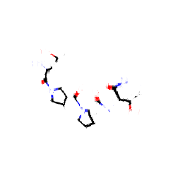 C[C@@H](O)[SiH2][C@H](N)C(=O)N1CC[C@@H](C(=O)N2CCC[C@H]2C(=O)N[C@H](C(N)=O)[C@@H](C)O)C1